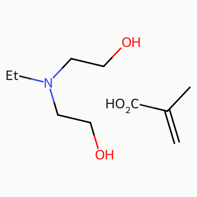 C=C(C)C(=O)O.CCN(CCO)CCO